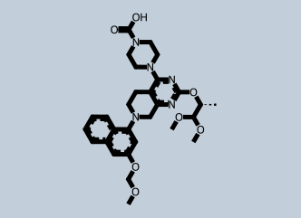 COCOc1cc(N2CCc3c(nc(O[C@H](C)C(OC)OC)nc3N3CCN(C(=O)O)CC3)C2)c2ccccc2c1